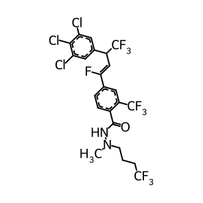 CN(CCCC(F)(F)F)NC(=O)c1ccc(C(F)=CC(c2cc(Cl)c(Cl)c(Cl)c2)C(F)(F)F)cc1C(F)(F)F